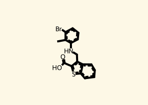 Cc1c(Br)cccc1NCc1c(C(=O)O)sc2ccccc12